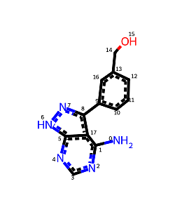 Nc1ncnc2[nH]nc(-c3cccc(CO)c3)c12